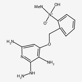 CN[N+]([O-])(O)c1ccccc1COc1cc(N)nc(NN)c1N